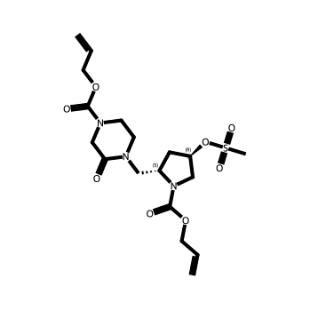 C=CCOC(=O)N1CCN(C[C@@H]2C[C@@H](OS(C)(=O)=O)CN2C(=O)OCC=C)C(=O)C1